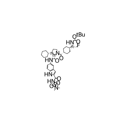 CN(C)S(=O)(=O)NC(=O)c1cc2cc(NC(=O)[C@@H]3[C@H](C4CCCCC4)CCN3C(=O)[C@H]3CC[C@H]([C@@H](CF)NC(=O)OC(C)(C)C)CC3)ccc2[nH]1